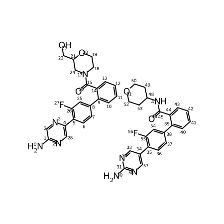 Nc1cnc(-c2ccc(-c3ccccc3C(=O)N3CCOC(CO)C3)cc2F)cn1.Nc1ncc(-c2ccc(-c3ccccc3C(=O)NC3CCOCC3)cc2F)cn1